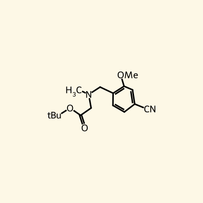 COc1cc(C#N)ccc1CN(C)CC(=O)OC(C)(C)C